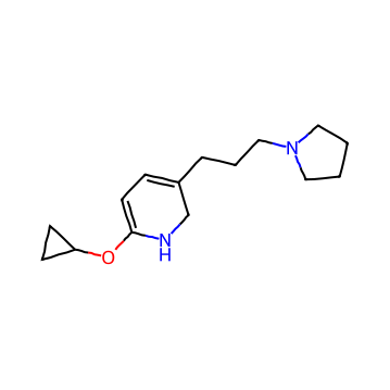 C1=C(CCCN2CCCC2)CNC(OC2CC2)=C1